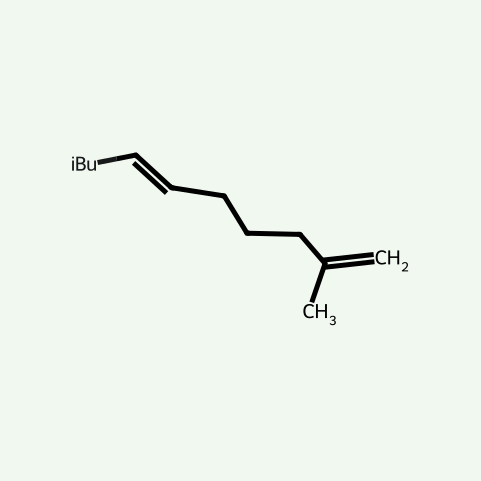 [CH2]CC(C)C=CCCCC(=C)C